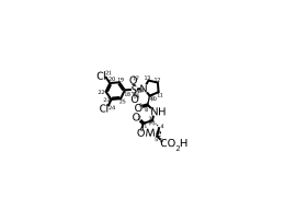 COC(=O)[C@@H](CCC(=O)O)NC(=O)[C@@H]1CCCN1S(=O)(=O)c1cc(Cl)cc(Cl)c1